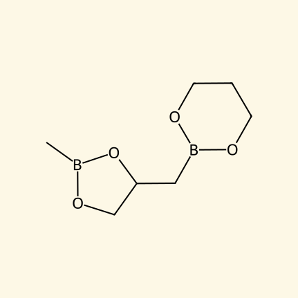 CB1OCC(CB2OCCCO2)O1